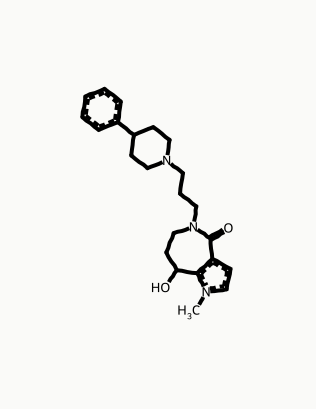 Cn1ccc2c1C(O)CCN(CCCN1CCC(c3ccccc3)CC1)C2=O